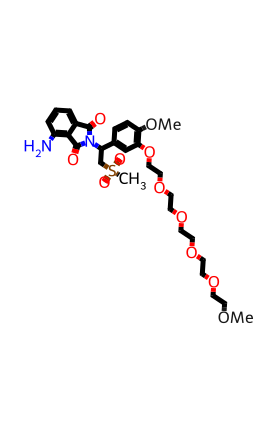 COCCOCCOCCOCCOCCOc1cc(C(CS(C)(=O)=O)N2C(=O)c3cccc(N)c3C2=O)ccc1OC